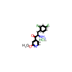 COc1cc(C(=O)C(N)Cc2ccc(F)cc2F)ccn1.Cl